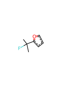 CC(C)(F)c1ccco1